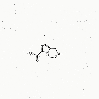 CC(=O)c1ncc2n1CCNC2